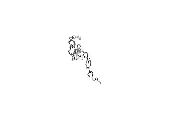 CC/C1=C(\C(=O)NCc2ccc(N3CCC(c4ccc(C)cc4)CC3)cc2)N2C=CC(OC)=C/C2=C\CCN1